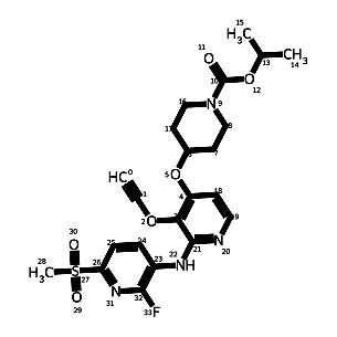 C#COc1c(OC2CCN(C(=O)OC(C)C)CC2)ccnc1Nc1ccc(S(C)(=O)=O)nc1F